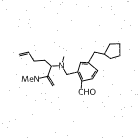 C=CCCC(C(=C)NC)N(C)Cc1cc(CC2CCCC2)ccc1C=O